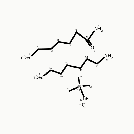 CCCCCCCCCCCCCCCC(N)=O.CCCCCCCCCCCCCCCCN.CCC[N+](C)(C)C.Cl